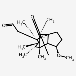 CO[C@@H]1CCC23CC[C@@H](C)[C@](C)(C12)[C@H](C)C[C@@](C)(CC=O)C(=O)[C@@H]3C